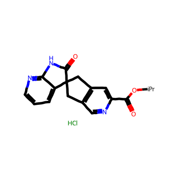 CC(C)OC(=O)c1cc2c(cn1)CC1(C2)C(=O)Nc2ncccc21.Cl